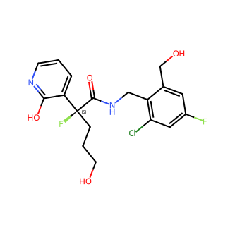 O=C(NCc1c(Cl)cc(F)cc1CO)[C@](F)(CCCO)c1cccnc1O